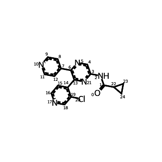 O=C(Nc1cnc(-c2ccncc2)c(-c2ccncc2Cl)n1)C1CC1